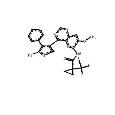 COc1cc2ncnc(-c3cnn(C)c3-c3ccccc3)c2nc1NC(=O)C1(C(F)(F)F)CC1